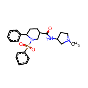 CN1CCC(NC(=O)C2CCC(c3ccccc3)N(S(=O)(=O)c3ccccc3)C2)C1